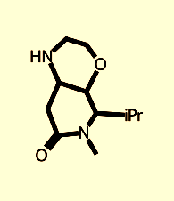 CC(C)C1C2OCCNC2CC(=O)N1C